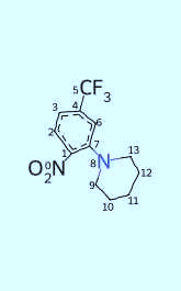 O=[N+]([O-])c1ccc(C(F)(F)F)cc1N1CCCCC1